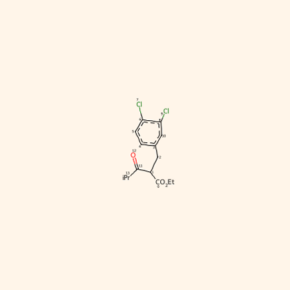 CCOC(=O)C(Cc1ccc(Cl)c(Cl)c1)C(=O)C(C)C